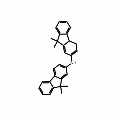 CC1(C)C2=CC(Nc3ccc4c(c3)C(C)(C)c3ccccc3-4)=CCC2c2ccccc21